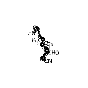 Cc1c(COc2cc(OCc3cncc(C#N)c3)c(C=O)cc2Cl)cccc1-c1cccc(OCCCN2CCOCC2CO)c1C